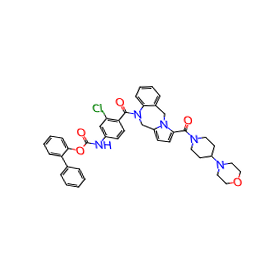 O=C(Nc1ccc(C(=O)N2Cc3ccc(C(=O)N4CCC(N5CCOCC5)CC4)n3Cc3ccccc32)c(Cl)c1)Oc1ccccc1-c1ccccc1